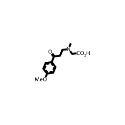 COc1ccc(C(=O)CCN(C)CC(=O)O)cc1